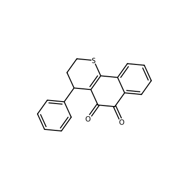 O=C1C(=O)c2ccccc2C2=C1C(c1ccccc1)CCS2